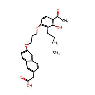 C.CCCc1c(OCCCOc2ccc3cc(CC(=O)O)ccc3c2)ccc(C(C)=O)c1O